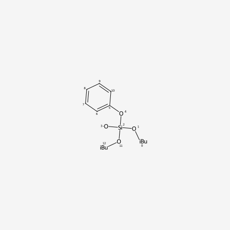 CCC(C)O[Si]([O])(Oc1ccccc1)OC(C)CC